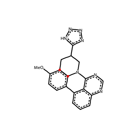 COc1ccc(-c2cccc3ncnc(N4CCCC(c5nnn[nH]5)C4)c23)cc1